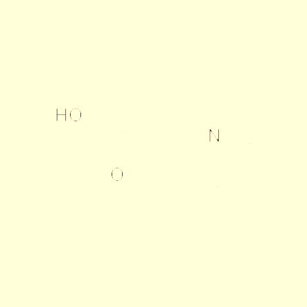 CC1CN1C(C)C(=O)O